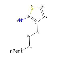 CCCCCCCCc1ccsc1[N]